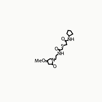 CO[C@@H]1CC(=O)N(CCNC(=O)CSCC(=O)NC2CCCC2)C1